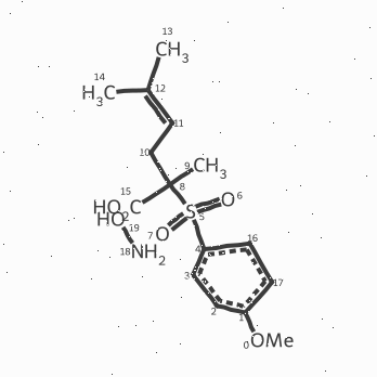 COc1ccc(S(=O)(=O)C(C)(CC=C(C)C)C(=O)O)cc1.NO